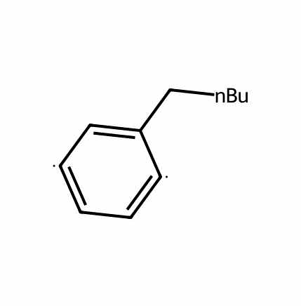 CCCCCc1[c]cc[c]c1